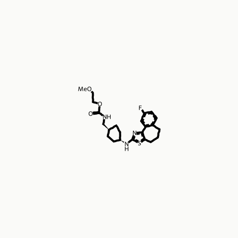 COCCOC(=O)NC[C@H]1CC[C@H](Nc2nc3c(s2)CCCc2ccc(F)cc2-3)CC1